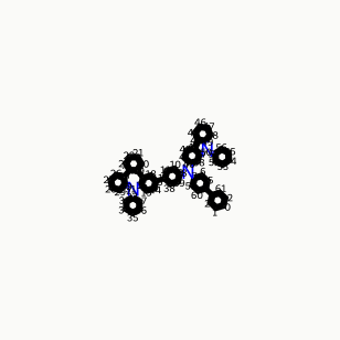 c1ccc(-c2ccc(N(c3ccc(-c4ccc5c(c4)-c4ccccc4-c4ccccc4N5c4ccccc4)cc3)c3ccc4c5ccccc5n(-c5ccccc5)c4c3)cc2)cc1